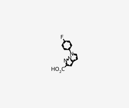 O=C(O)c1cc2ccn(-c3ccc(F)cc3)n2n1